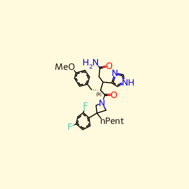 CCCCCC1(c2ccc(F)cc2F)CN(C(=O)[C@H](Cc2ccc(OC)cc2)C(CC(N)=O)c2c[nH]cn2)C1